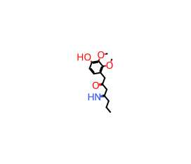 CCCC(=N)CC(=O)Cc1ccc(O)c(OC)c1OC